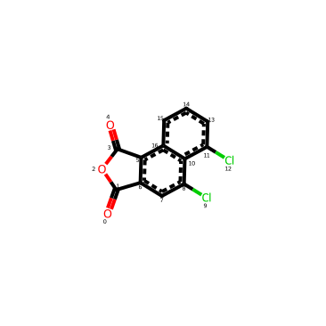 O=C1OC(=O)c2c1cc(Cl)c1c(Cl)cccc21